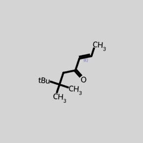 C/C=C/C(=O)CC(C)(C)C(C)(C)C